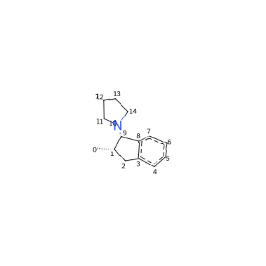 C[C@H]1Cc2ccccc2[C@H]1N1CCCC1